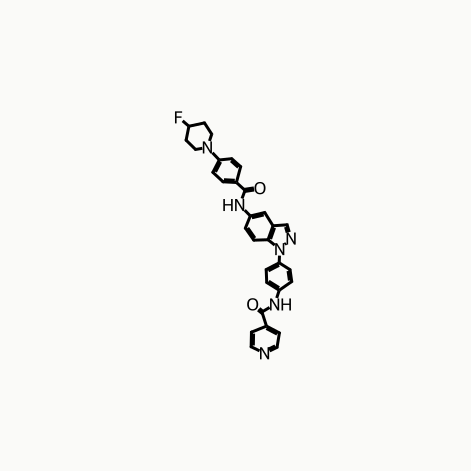 O=C(Nc1ccc(-n2ncc3cc(NC(=O)c4ccc(N5CCC(F)CC5)cc4)ccc32)cc1)c1ccncc1